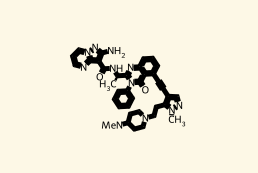 CNC1CCN(CCc2c(C#Cc3cccc4nc([C@@H](C)NC(=O)c5c(N)nn6cccnc56)n(-c5ccccc5)c(=O)c34)cnn2C)CC1